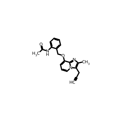 C#CCc1c(C)nc2c(OCc3ccccc3NC(C)=O)cccn12